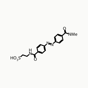 CNC(=O)c1ccc(/N=N/c2ccc(C(=O)NCCS(=O)(=O)O)cc2)cc1